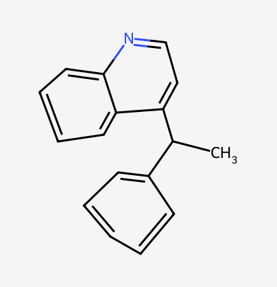 CC(c1ccccc1)c1ccnc2ccccc12